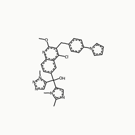 COc1nc2ccc(C(O)(c3cnnn3C)c3cnc(C)n3C)cc2c(Cl)c1Cc1ccc(-n2cccc2)cc1